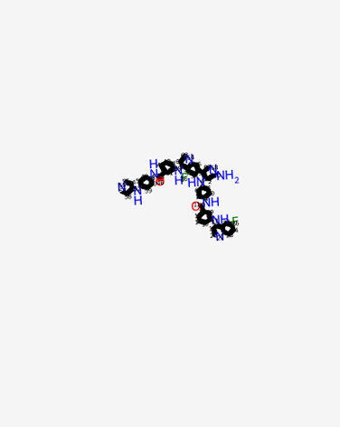 Nc1cc(Nc2ccc(NC(=O)c3cccc(Nc4ccnc5ccc(F)cc45)c3)cc2)c(-c2cc(F)c3c(Nc4cccc(C(=O)Nc5ccc(Nc6ccncc6)cc5)c4)ccnc3c2)cn1